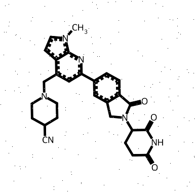 Cn1ccc2c(CN3CCC(C#N)CC3)cc(-c3ccc4c(c3)CN(C3CCC(=O)NC3=O)C4=O)nc21